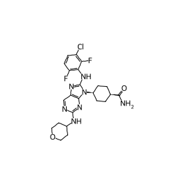 NC(=O)[C@H]1CC[C@@H](n2c(Nc3c(F)ccc(Cl)c3F)nc3cnc(NC4CCOCC4)nc32)CC1